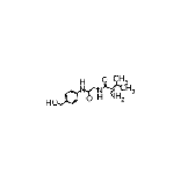 CC(C)[C@H](N)C(=O)NCC(=O)Nc1ccc(CO)cc1